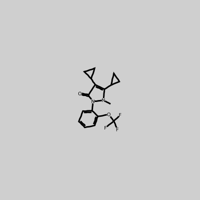 Cn1c(C2CC2)c(C2CC2)c(=O)n1-c1ccccc1OC(F)(F)F